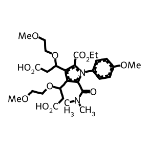 CCOC(=O)c1c(C(CC(=O)O)OCCOC)c(C(CC(=O)O)OCCOC)c(C(=O)N(C)C)n1-c1ccc(OC)cc1